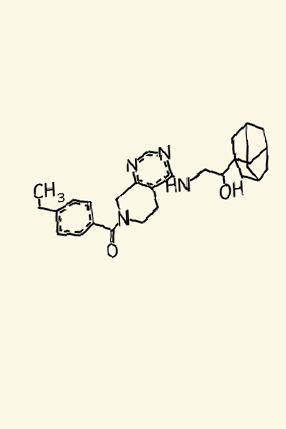 CCc1ccc(C(=O)N2CCc3c(ncnc3NCC(O)C34CC5CC(CC(C5)C3)C4)C2)cc1